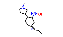 CC/C=C1/CCC(C2CCN(C)C2)C(NO)C1